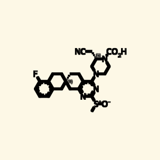 C[S+]([O-])c1nc2c(c(N3CCN(C(=O)O)[C@@H](CC#N)C3)n1)CC[C@]1(CCc3c(F)cccc3C1)C2